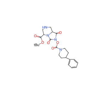 CC(C)(C)OC(=O)C1CNCC2C(=O)N(OC(=O)N3CCC(c4ccccc4)CC3)C(=O)N12